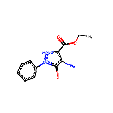 CCOC(=O)c1[nH]n(-c2ccccc2)c(=O)c1N